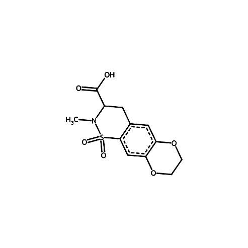 CN1C(C(=O)O)Cc2cc3c(cc2S1(=O)=O)OCCO3